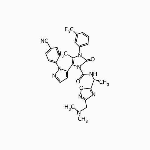 Cc1c(-c2ccnn2-c2ccc(C#N)cc2)n(C(=O)N[C@@H](C)c2nc(CN(C)C)no2)c(=O)n1-c1cccc(C(F)(F)F)c1